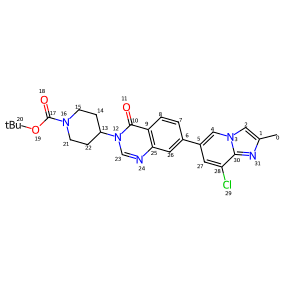 Cc1cn2cc(-c3ccc4c(=O)n(C5CCN(C(=O)OC(C)(C)C)CC5)cnc4c3)cc(Cl)c2n1